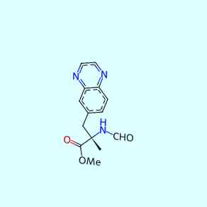 COC(=O)[C@](C)(Cc1ccc2nccnc2c1)NC=O